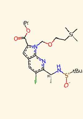 CC(C)OC(=O)c1cc2cc(F)c([C@@H](C)N[S+]([O-])C(C)(C)C)nc2n1COCC[Si](C)(C)C